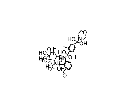 CN(C1C(=O)NC(=O)C(O)(O)C1(O)O)C(O)(O)c1c(C=O)cccc1NC(O)(O)c1ccc(C(O)(O)N2CCOCC2)cc1F